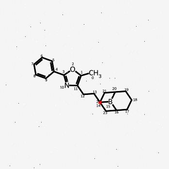 Cc1oc(-c2ccccc2)nc1CCCB1C2CCCC1CCC2